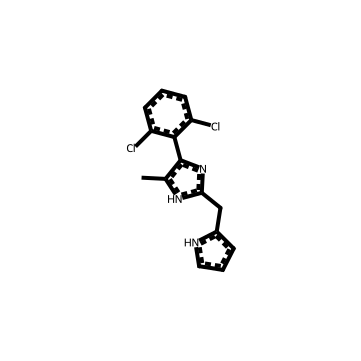 Cc1[nH]c(Cc2ccc[nH]2)nc1-c1c(Cl)cccc1Cl